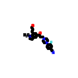 CN1CCc2cc(C(=O)CCN3CCN(c4ccc(C#N)cc4F)CC3)cc(CCC=O)c21